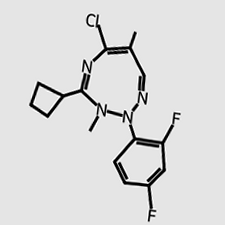 Cc1cnn(-c2ccc(F)cc2F)n(C)c(C2CCC2)nc1Cl